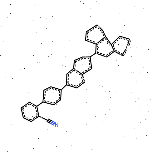 N#Cc1ccccc1-c1ccc(-c2ccc3cc(-c4cc5ccccc5c5ccccc45)ccc3c2)cc1